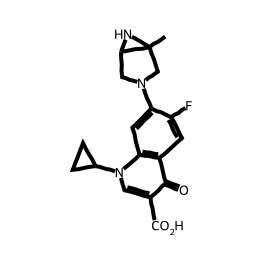 CC12CN(c3cc4c(cc3F)c(=O)c(C(=O)O)cn4C3CC3)CC1N2